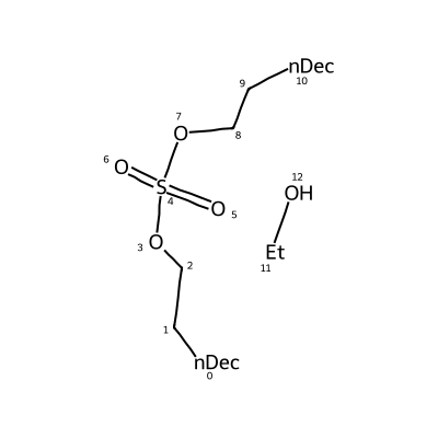 CCCCCCCCCCCCOS(=O)(=O)OCCCCCCCCCCCC.CCO